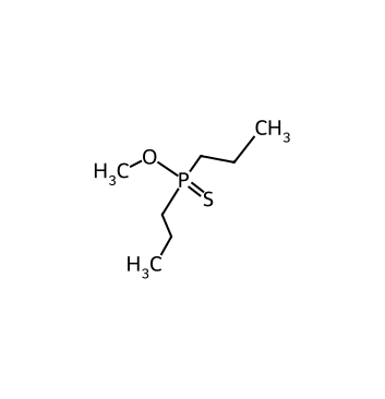 CCCP(=S)(CCC)OC